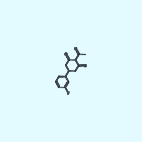 CC(=O)C1C(=O)CC(c2cccc(F)c2)CC1=O